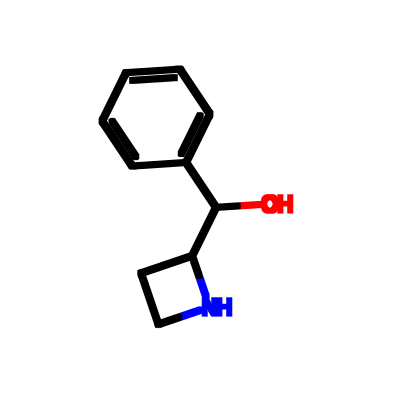 OC(c1ccccc1)C1CCN1